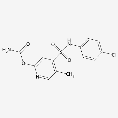 Cc1cnc(OC(N)=O)cc1S(=O)(=O)Nc1ccc(Cl)cc1